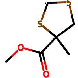 COC(=O)C1(C)CS[CH]S1